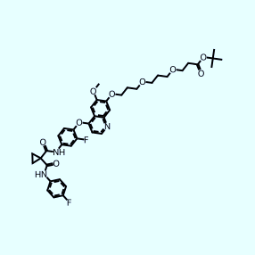 COc1cc2c(Oc3ccc(NC(=O)C4(C(=O)Nc5ccc(F)cc5)CC4)cc3F)ccnc2cc1OCCCOCCCOCCC(=O)OC(C)(C)C